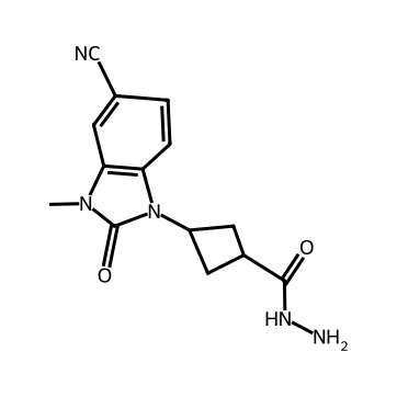 Cn1c(=O)n(C2CC(C(=O)NN)C2)c2ccc(C#N)cc21